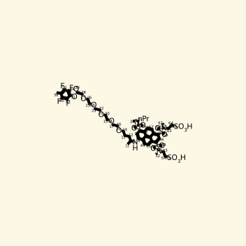 CCCN(C)S(=O)(=O)c1cc(NC(C)CCCOCCOCCOCCOCCOCC(=O)Oc2c(F)c(F)c(C)c(F)c2F)c2ccc3c(S(=O)(=O)N(C)CCS(=O)(=O)O)cc(S(=O)(=O)N(C)CCS(=O)(=O)O)c4ccc1c2c34